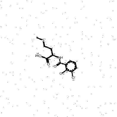 CSCCC(NC(=O)c1cccc(Cl)c1Cl)C(=O)O